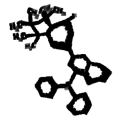 CC1(C)c2cc(-c3cc(N(c4ccccc4)c4ccccc4)c4ccccc4c3)cc(F)c2C(C)(C)C1(C)C